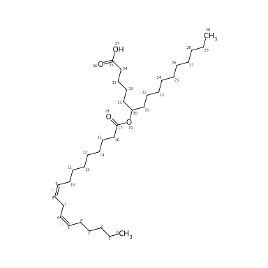 CCCCC/C=C\C/C=C\CCCCCCCC(=O)OC(CCCCCCCCCC)CCCCC(=O)O